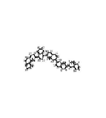 c1ccc2ncc(-c3ccc4ccc(-c5ccc6ccc(-c7ccc(-c8ccc9ccc%10cccnc%10c9n8)c8ccccc78)nc6c5)cc4n3)cc2c1